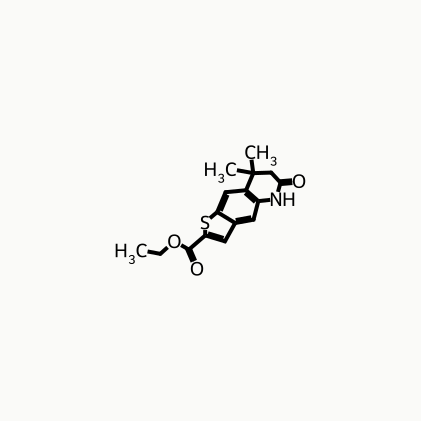 CCOC(=O)c1cc2cc3c(cc2s1)C(C)(C)CC(=O)N3